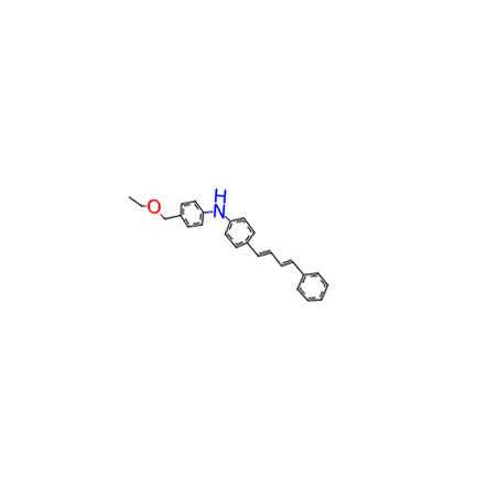 CCOCc1ccc(Nc2ccc(/C=C/C=C/c3ccccc3)cc2)cc1